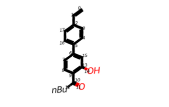 C=Cc1ccc(-c2ccc(C(=O)CCCC)c(O)c2)cc1